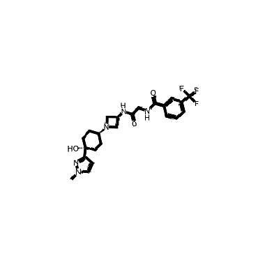 Cn1ccc([C@]2(O)CC[C@H](N3CC(NC(=O)CNC(=O)c4cccc(C(F)(F)F)c4)C3)CC2)n1